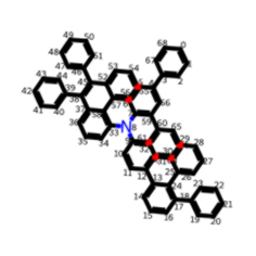 c1ccc(-c2ccc(N(c3ccc(-c4cccc(-c5ccccc5)c4-c4ccccc4)cc3)c3cccc4c(-c5ccccc5)c(-c5ccccc5)c5ccccc5c34)c(-c3ccccc3)c2)cc1